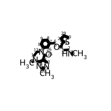 CNCC[C@H](OCc1cccc(N2CCN(C)c3nc(C)ncc3C2=O)c1)c1cccs1